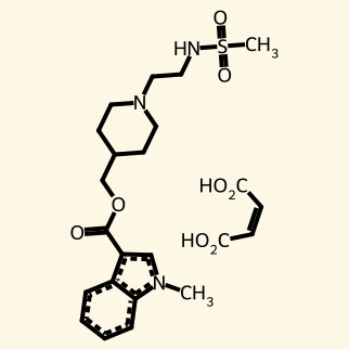 Cn1cc(C(=O)OCC2CCN(CCNS(C)(=O)=O)CC2)c2ccccc21.O=C(O)/C=C\C(=O)O